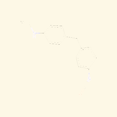 CONc1ccc(Cc2ccc(N=C=O)cc2)cc1